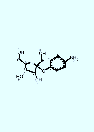 Nc1ccc(OC2(CO)O[C@H](CO)[C@@H](O)[C@@H]2O)cc1